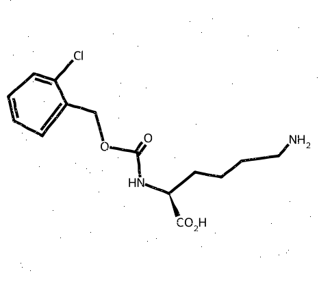 NCCCC[C@H](NC(=O)OCc1ccccc1Cl)C(=O)O